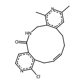 Cc1cc2c(c(C)n1)CNC(=O)c1ccnc(Cl)c1C/C=C\CC2